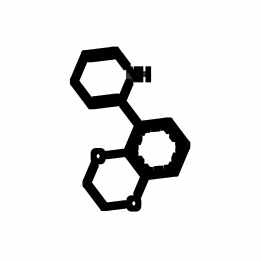 C1=CNC(c2cccc3c2OCCO3)=CC1